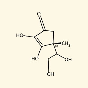 C[C@]1(C(O)CO)CC(=O)C(O)=C1O